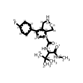 CNC(=O)C(NC(=O)n1nc(-c2ccc(F)cc2)c2c1CCNC2)C(C)(C)C